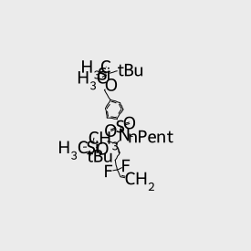 C=CC(F)(F)CC[C@@H](CO[Si](C)(C)C(C)(C)C)N(CCCCC)S(=O)(=O)c1ccc(CO[Si](C)(C)C(C)(C)C)cc1